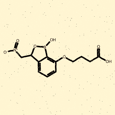 O=C(O)CCCOc1cccc2c1B(O)OC2C[N+](=O)[O-]